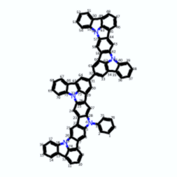 c1ccc(-n2c3cc4c5cccc6c7ccccc7n(c4cc3c3cc4c(cc32)c2cc(-c3cc7c8ccccc8n8c9cc%10c%11cccc%12c%13ccccc%13n(c%10cc9c(c3)c78)c%12%11)cc3c7ccccc7n4c32)c65)cc1